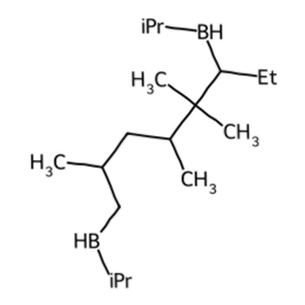 CCC(BC(C)C)C(C)(C)C(C)CC(C)CBC(C)C